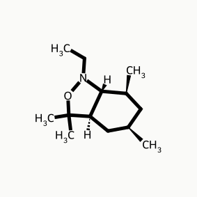 CCN1OC(C)(C)[C@@H]2C[C@H](C)C[C@H](C)[C@H]21